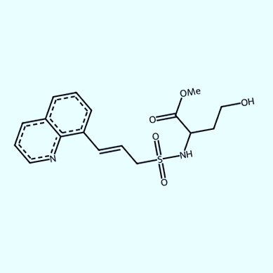 COC(=O)C(CCO)NS(=O)(=O)CC=Cc1cccc2cccnc12